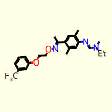 CCN(C)C=Nc1cc(C)c(C(C)=NOCCOc2cccc(C(F)(F)F)c2)cc1C